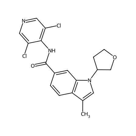 Cc1cn(C2CCOC2)c2cc(C(=O)Nc3c(Cl)cncc3Cl)ccc12